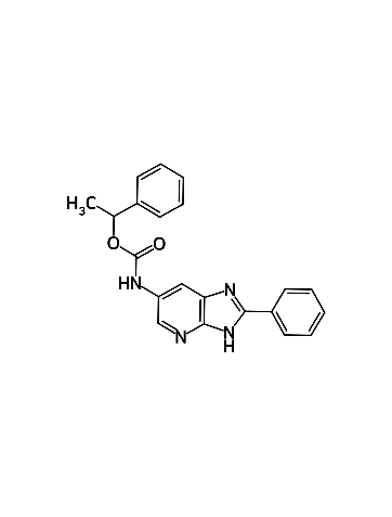 CC(OC(=O)Nc1cnc2[nH]c(-c3ccccc3)nc2c1)c1ccccc1